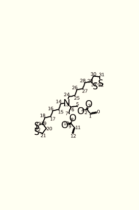 C=CC(=O)OCC(COC(=O)C=C)N(CCCCCC1CCSS1)CCCCCC1CCSS1